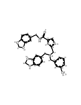 O=C(NCc1ccc2c(c1)OCO2)c1csc(CN(Cc2cccc(C(F)(F)F)c2)Cc2ccc3c(c2)OCO3)n1